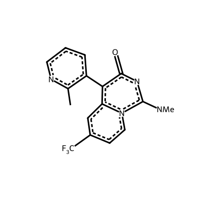 CNc1nc(=O)c(-c2cccnc2C)c2cc(C(F)(F)F)ccn12